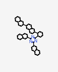 c1ccc(-c2nc(-c3ccc4ccccc4c3)nc(-c3ccc4ccccc4c3)n2)c(-c2ccc3cc(-c4ccc5ccccc5c4)ccc3c2)c1